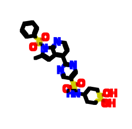 Cc1cc2c(-c3ncc(S(=O)(=O)NC4CCS(O)(O)CC4)cn3)ccnc2n1S(=O)(=O)c1ccccc1